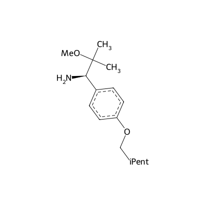 CCCC(C)COc1ccc([C@@H](N)C(C)(C)OC)cc1